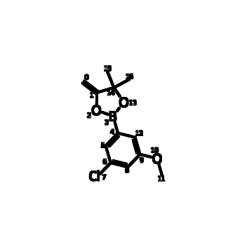 C=C1OB(c2cc(Cl)cc(OC)c2)OC1(C)C